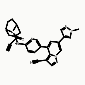 C#CC(=O)N1C2CCC1CC(Nc1ccc(-c3cc(-c4cnn(C)c4)cn4ncc(C#N)c34)cn1)C2